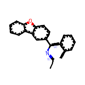 C=c1cccc/c1=C(/N=C/C)c1ccc2oc3ccccc3c2c1